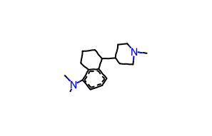 CN1CCC(C2CCCc3c2cccc3N(C)C)CC1